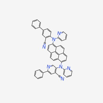 N#Cc1cc(-c2ccccc2)ccc1N(c1ccccn1)c1ccc2ccc3c(N(c4ccccn4)c4cnc(-c5ccccc5)cc4C#N)ccc4ccc1c2c43